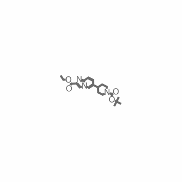 CCOC(=O)c1cn2cc(C3CCN(C(=O)OC(C)(C)C)CC3)ccc2n1